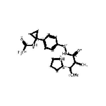 COC(C(C)C(=O)NSc1ccc(C2(NC(=O)C(F)(F)F)CC2)cc1)[C@@H]1CCCN1